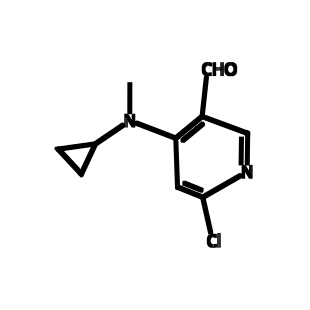 CN(c1cc(Cl)ncc1C=O)C1CC1